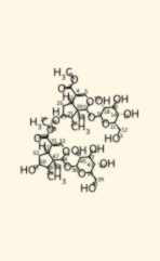 COC(=O)C1=CO[C@@H](O[C@@H]2O[C@H](CO)[C@@H](O)[C@H](O)[C@H]2O)[C@@H]2[C@@H](C)[C@@H](O)C[C@H]12.COC(=O)C1=CO[C@@H](O[C@@H]2O[C@H](CO)[C@@H](O)[C@H](O)[C@H]2O)[C@@H]2[C@@H](C)[C@@H](O)C[C@H]12